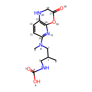 CC(CNC(=O)O)CN(C)c1ccc2c(n1)OC(=O)CN2